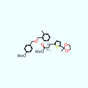 COC(=O)[C@@H](C)[C@H](c1ccc(C)c(COCc2ccc(OC)cc2)c1)c1ccc(C2(C)OCCO2)s1